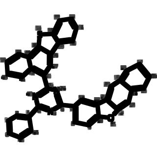 c1ccc(-c2nc(-c3ccc4oc5cc6ccccc6cc5c4c3)nc(-c3cc4c5ccccc5sc4c4ccccc34)n2)cc1